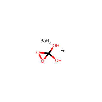 OC1(O)OO1.[BaH2].[Fe]